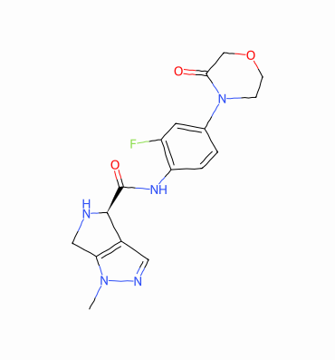 Cn1ncc2c1CN[C@H]2C(=O)Nc1ccc(N2CCOCC2=O)cc1F